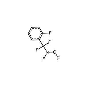 FON(F)C(F)(F)c1ccccc1F